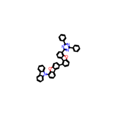 c1ccc(-c2nc(-c3ccccc3)nc(-c3cccc4c3oc3cccc(-c5ccc6oc7c(-n8c9ccccc9c9ccccc98)cccc7c6c5)c34)n2)cc1